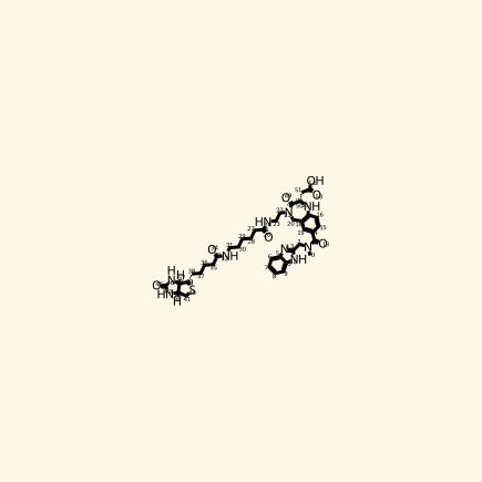 CN(Cc1nc2ccccc2[nH]1)C(=O)c1ccc2c(c1)CN(CCNC(=O)CCCCCNC(=O)CCCC[C@@H]1SC[C@@H]3NC(=O)N[C@@H]31)C(=O)[C@H](CC(=O)O)N2